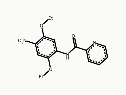 CCOc1cc([N+](=O)[O-])c(OCC)cc1NC(=O)c1ccccn1